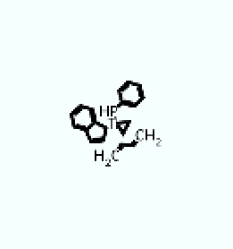 C1=C[CH]([Ti]2([PH]c3ccccc3)[CH2][CH2]2)c2ccccc21.C=CC=C